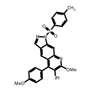 COc1ccc(-c2c(C(C)C)c(OC)nc3cc4c(cnn4S(=O)(=O)c4ccc(C)cc4)cc23)cc1